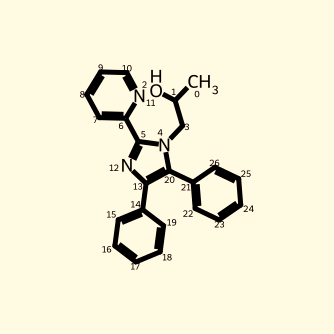 CC(O)Cn1c(-c2ccccn2)nc(-c2ccccc2)c1-c1ccccc1